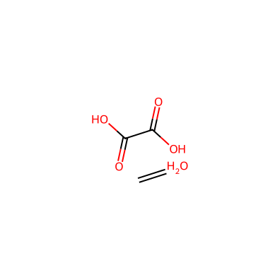 C=C.O.O=C(O)C(=O)O